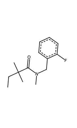 CCC(C)(C)C(=O)N(C)Cc1ccccc1F